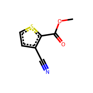 COC(=O)c1sccc1C#N